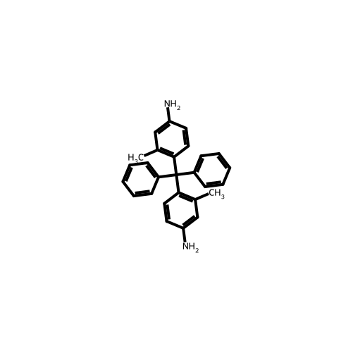 Cc1cc(N)ccc1C(c1ccccc1)(c1ccccc1)c1ccc(N)cc1C